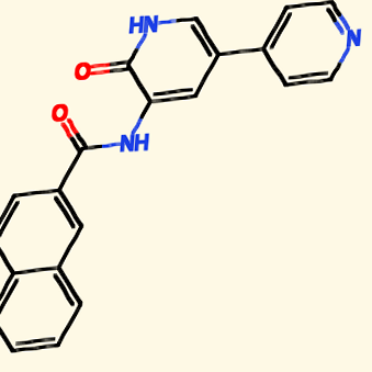 O=C(Nc1cc(-c2ccncc2)c[nH]c1=O)c1ccc2ccccc2c1